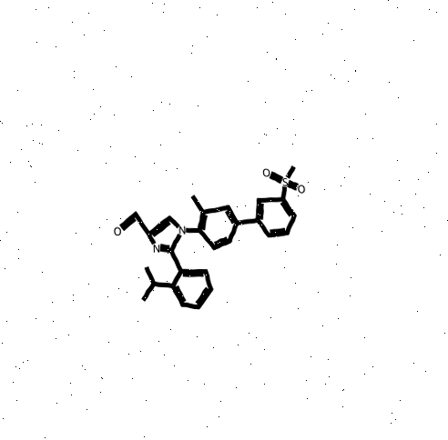 Cc1cc(-c2cccc(S(C)(=O)=O)c2)ccc1-n1cc(C=O)nc1-c1ccccc1C(C)C